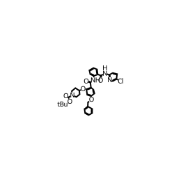 CC(C)(C)OC(=O)N1CCC(Oc2cc(OCc3ccccc3)ccc2C(=O)Nc2ccccc2C(=O)Nc2ccc(Cl)cn2)CC1